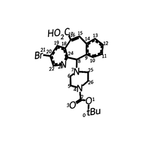 CC(C)(C)OC(=O)N1CCN(C2c3ccccc3C=C(C(=O)O)c3cc(Br)cnc32)CC1